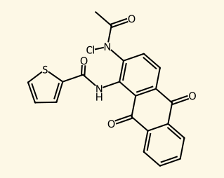 CC(=O)N(Cl)c1ccc2c(c1NC(=O)c1cccs1)C(=O)c1ccccc1C2=O